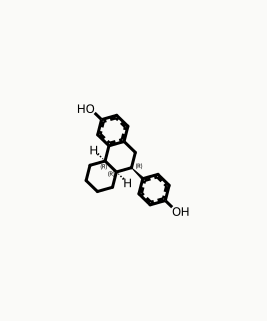 Oc1ccc([C@@H]2Cc3ccc(O)cc3[C@@H]3CCCC[C@H]23)cc1